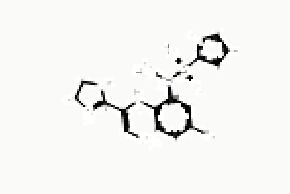 C/C=C(\Nc1ccc(F)cc1N(C)S(=O)(=O)c1cccs1)C1=NCCS1